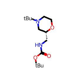 CC(C)(C)OC(=O)NC[C@@H]1CN(C(C)(C)C)CCO1